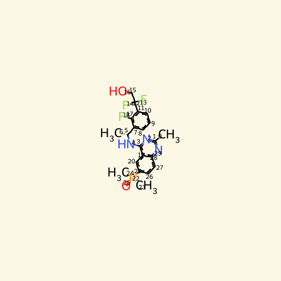 Cc1nc(N[C@H](C)c2cccc(C(F)(F)CO)c2F)c2cc(P(C)(C)=O)ccc2n1